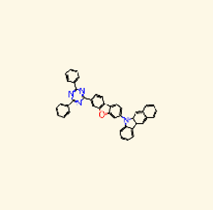 C1=c2ccccc2=CC2C1c1ccccc1N2c1ccc2c(c1)oc1cc(-c3nc(-c4ccccc4)nc(-c4ccccc4)n3)ccc12